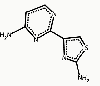 Nc1ccnc(-c2csc(N)n2)n1